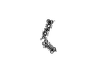 CCN(CCOC(=O)C(C)(C(C)(C)C)C(C)(C)C(C)(C)C(C)(C)C(=O)OC)c1ccc(/N=N/c2ccc([N+](=O)[O-])cc2)cc1